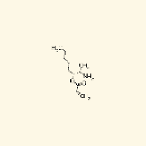 C=CC(=O)OC(CCCCC)C(C)N